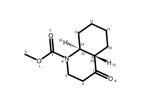 COC(=O)N1CCC(=O)[C@H]2CCCC[C@@H]21